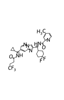 Cc1ccnc(C(=O)N[C@H](c2cn3ncc([C@H](NC(=O)CCC(F)(F)F)C4CC4)cc3n2)C2CCC(F)(F)CC2)c1